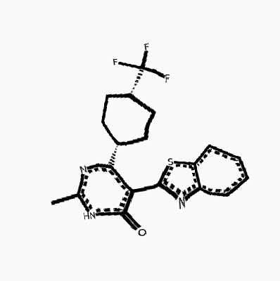 Cc1nc([C@H]2CC[C@@H](C(F)(F)F)CC2)c(-c2nc3ccccc3s2)c(=O)[nH]1